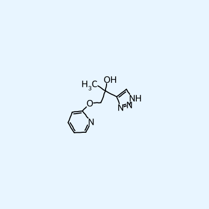 CC(O)(COc1ccccn1)c1c[nH]nn1